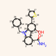 NC(=O)c1cccc2c1c1c(O)cc(-c3cccs3)cc1n2Cc1ccccc1